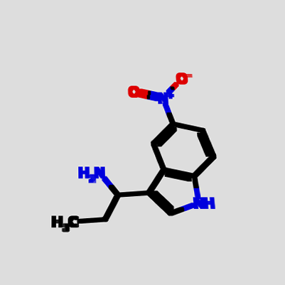 CCC(N)c1c[nH]c2ccc([N+](=O)[O-])cc12